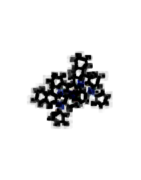 c1ccc(N(c2ccccc2)c2cccc3c4c5ccccc5cc5c6c7c8cccc9c%10c%11ccccc%11cc(N(c%11ccccc%11)c%11ccccc%11)c%10n(c7ncc6n(c23)c54)c89)cc1